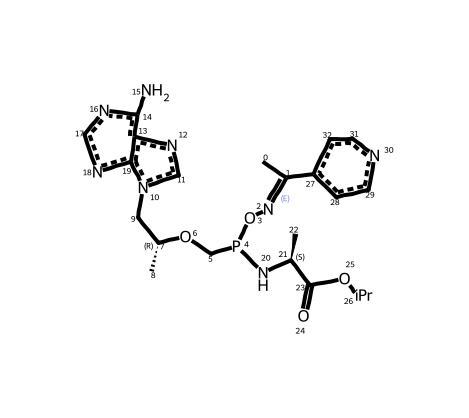 C/C(=N\OP(CO[C@H](C)Cn1cnc2c(N)ncnc21)N[C@@H](C)C(=O)OC(C)C)c1ccncc1